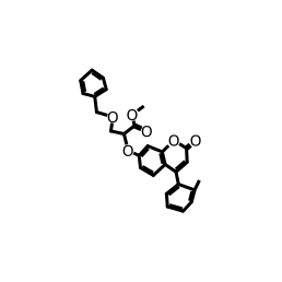 COC(=O)C(COCc1ccccc1)Oc1ccc2c(-c3ccccc3C)cc(=O)oc2c1